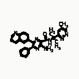 Cc1cnnc(C(C)(C)NC(=O)c2nc(-c3ccc4ncccc4c3)c(-c3ccccc3)nc2N)c1